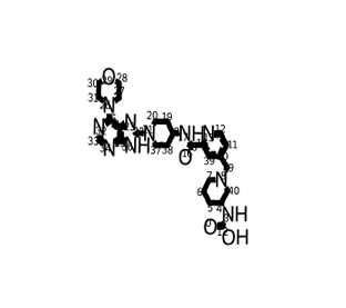 O=C(O)N[C@@H]1CCCN(Cc2ccnc(C(=O)NC3CCN(c4nc5c(N6CCOCC6)ncnc5[nH]4)CC3)c2)C1